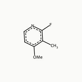 COc1ccnc(F)c1C